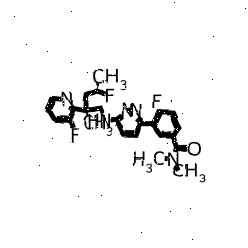 C[C@H](F)C[C@@](C)(CNc1ccc(-c2cc(C(=O)N(C)C)ccc2F)nn1)c1ncccc1F